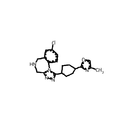 Cc1coc(C2CCC(c3nnc4n3-c3ccc(Cl)cc3CNC4)CC2)n1